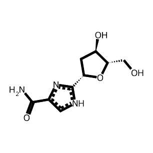 NC(=O)c1c[nH]c([C@@H]2C[C@@H](O)[C@H](CO)O2)n1